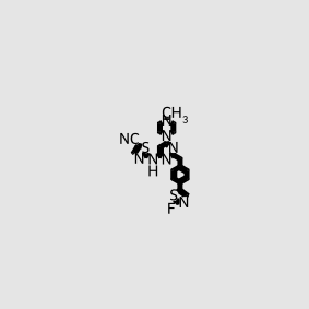 CN1CCN(c2cc(Nc3ncc(C#N)s3)nc(Cc3ccc(-c4cnc(F)s4)cc3)n2)CC1